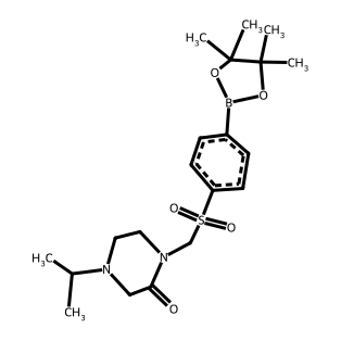 CC(C)N1CCN(CS(=O)(=O)c2ccc(B3OC(C)(C)C(C)(C)O3)cc2)C(=O)C1